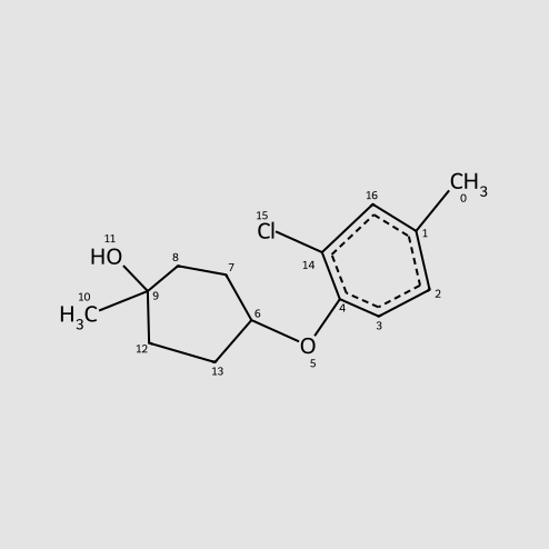 Cc1ccc(OC2CCC(C)(O)CC2)c(Cl)c1